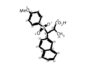 COc1ccc(S(=O)(=O)C(c2ccc3ccccc3c2)C(C)C(=O)O)cc1